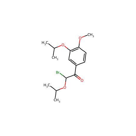 COc1ccc(C(=O)C(Br)OC(C)C)cc1OC(C)C